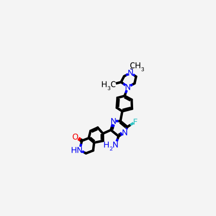 CC1CN(C)CCN1c1ccc(-c2nc(-c3ccc4c(c3)CCNC4=O)c(N)nc2F)cc1